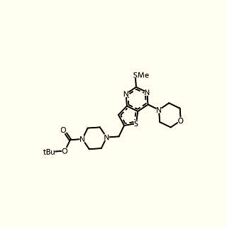 CSc1nc(N2CCOCC2)c2sc(CN3CCN(C(=O)OC(C)(C)C)CC3)cc2n1